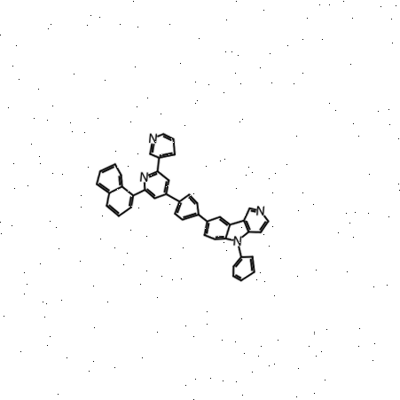 c1ccc(-n2c3ccncc3c3cc(-c4ccc(-c5cc(-c6cccnc6)nc(-c6cccc7ccccc67)c5)cc4)ccc32)cc1